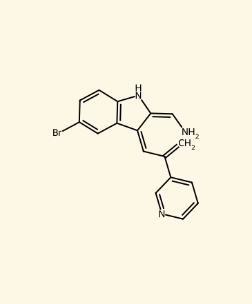 C=C(/C=c1\c(=C/N)[nH]c2ccc(Br)cc12)c1cccnc1